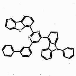 c1ccc(-c2cccc(-c3cc(-c4cccc5c4c4ccccc4n5-c4ccccc4)nc(-c4cccc5c4oc4ccccc45)n3)c2)cc1